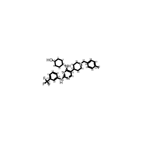 O[C@H]1CC[C@H](Nc2nc(Nc3cccc(C(F)(F)F)c3)ncc2C2CCN(Cc3ccc(F)cc3)CC2)CC1